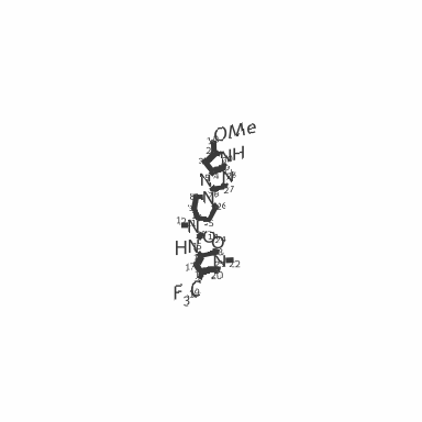 COCc1cc2nc(N3CCC(N(C)C(=O)Nc4cc(C(F)(F)F)cn(C)c4=O)CC3)cnc2[nH]1